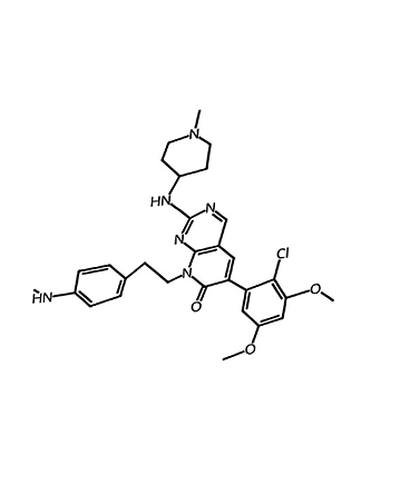 CNc1ccc(CCn2c(=O)c(-c3cc(OC)cc(OC)c3Cl)cc3cnc(NC4CCN(C)CC4)nc32)cc1